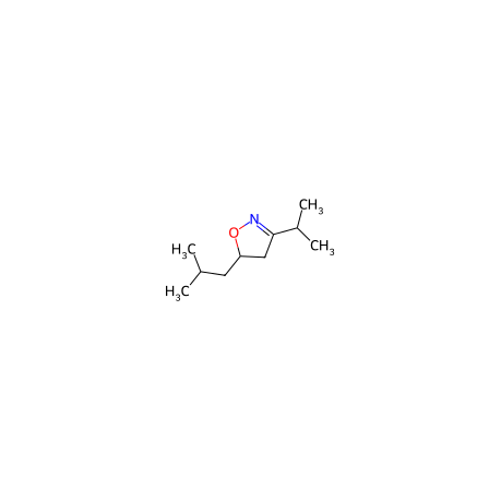 CC(C)CC1CC(C(C)C)=NO1